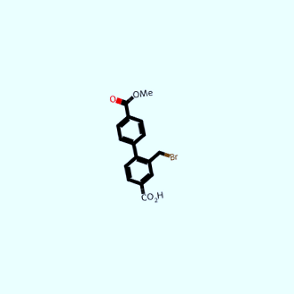 COC(=O)c1ccc(-c2ccc(C(=O)O)cc2CBr)cc1